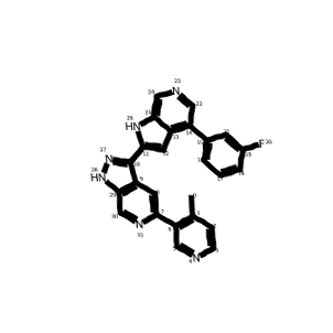 Cc1ccncc1-c1cc2c(-c3cc4c(-c5cccc(F)c5)cncc4[nH]3)n[nH]c2cn1